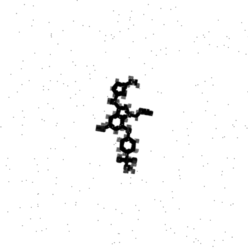 COCn1nc(Nc2ccn(C)n2)c2cc(O)cc(Oc3ccc(S(C)(=O)=O)cc3)c21